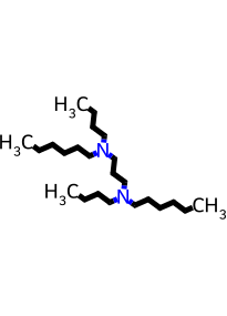 CCCCCCN(CCCC)CCCN(CCCC)CCCCCC